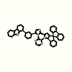 c1cc(-c2cccc3c2oc2ccccc23)cc(-c2cnc3c4cc5c(n4c4nccnc4n23)-c2ccccc2C52c3ccccc3-c3ccccc32)c1